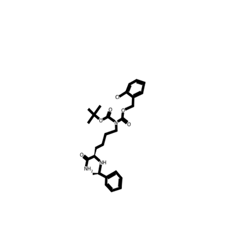 C[C@@H](N[C@H](CCCCN(C(=O)OCc1ccccc1Cl)C(=O)OC(C)(C)C)C(N)=O)c1ccccc1